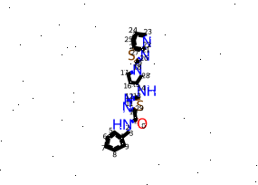 O=C(NCc1ccccc1)c1nnc(N[C@@H]2CCN(c3nc4ncccc4s3)C2)s1